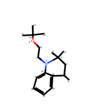 CC1CC(C)(C)N(CCOC(C)(C)C)c2ccccc21